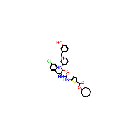 O=C(Nc1ccc(C(=O)OC2CCCCCCC2)s1)N[C@@H](Cc1ccc(Cl)cc1)C(=O)N[C@H]1CCCN(Cc2cccc(O)c2)C1